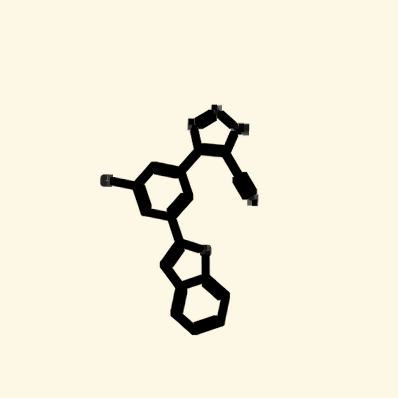 N#Cc1[nH]nnc1-c1cc(Cl)cc(-c2cc3ccccc3o2)c1